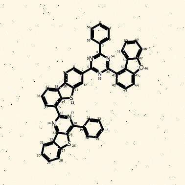 c1ccc(-c2nc(-c3ccc4c(c3)sc3c(-c5nc(-c6ccccc6)c6sc7ccccc7c6n5)cccc34)nc(-c3cccc4oc5ccccc5c34)n2)cc1